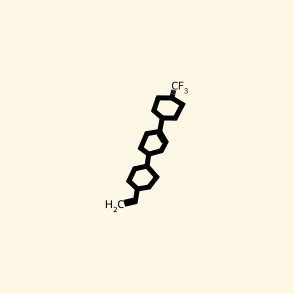 C=CC1CCC(C2CC=C(C3CCC(C(F)(F)F)CC3)CC2)CC1